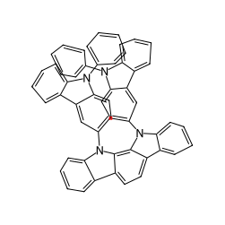 c1ccc(-n2c3ccccc3c3cc(-n4c5ccccc5c5ccc6c7ccccc7n(-c7ccc8c(c7)c7ccccc7n8-c7ccccc7)c6c54)ccc32)cc1